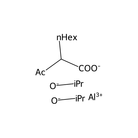 CC(C)[O-].CC(C)[O-].CCCCCCC(C(C)=O)C(=O)[O-].[Al+3]